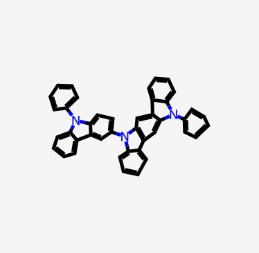 c1ccc(-n2c3ccccc3c3cc(-n4c5ccccc5c5cc6c(cc54)c4ccccc4n6-c4ccccc4)ccc32)cc1